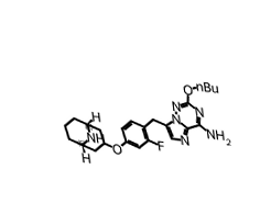 CCCCOc1nc(N)c2ncc(Cc3ccc(OC4C[C@H]5CCC[C@@H](C4)N5)cc3F)n2n1